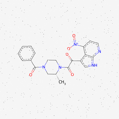 C[C@@H]1CN(C(=O)c2ccccc2)CCN1C(=O)C(=O)c1c[nH]c2nccc([N+](=O)[O-])c12